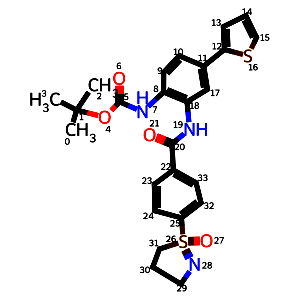 CC(C)(C)OC(=O)Nc1ccc(-c2cccs2)cc1NC(=O)c1ccc(S2(=O)=NCCC2)cc1